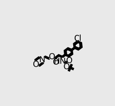 CC(C)(C)OC(=O)NC(CC(=O)OCCN1CCOCC1)c1ccc(-c2cccc(Cl)c2)cc1